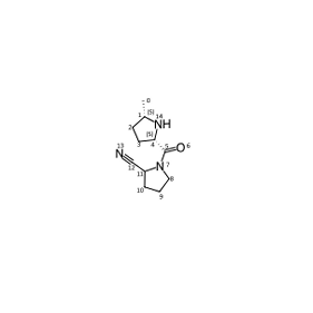 C[C@H]1CC[C@@H](C(=O)N2CCCC2C#N)N1